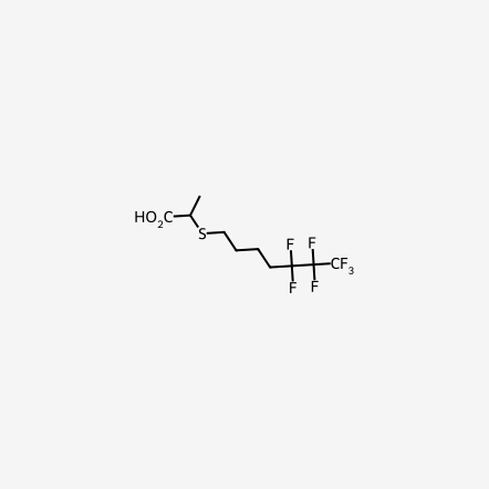 CC(SCCCCC(F)(F)C(F)(F)C(F)(F)F)C(=O)O